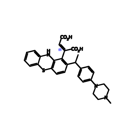 CC(c1ccc(N2CCN(C)CC2)cc1)c1ccc2c(c1/C(=C/C(=O)O)C(=O)O)Nc1ccccc1S2